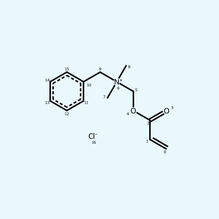 C=CC(=O)OC[N+](C)(C)Cc1ccccc1.[Cl-]